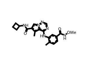 CONC(=O)c1ccc(C)c(Nc2ncnn3cc(C(=O)NC4CCC4)c(C)c23)c1